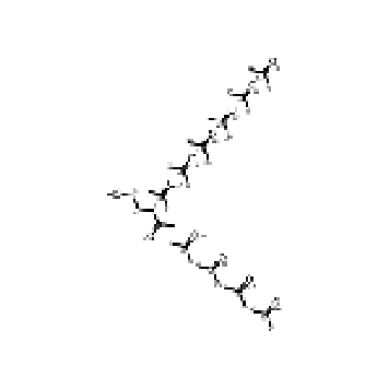 CC(=O)CCCO.CC(C)=O.CC(C)=O.CC(C)=O.CC(C)=O.CC(C)=O.CC(C)=O.CC(C)=O.CC(C)=O.CC(C)=O.CC(C)=O